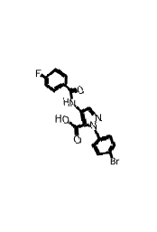 O=C(Nc1cnn(-c2ccc(Br)cc2)c1C(=O)O)c1ccc(F)cc1